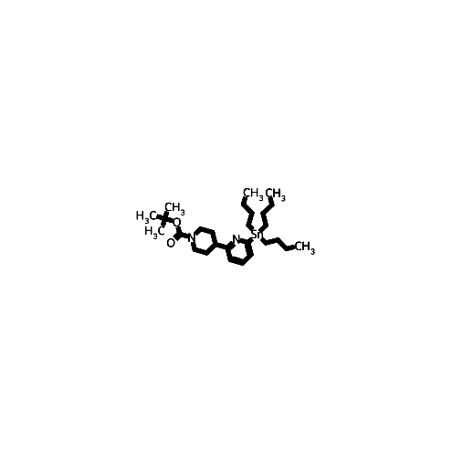 CCC[CH2][Sn]([CH2]CCC)([CH2]CCC)[c]1cccc(C2CCN(C(=O)OC(C)(C)C)CC2)n1